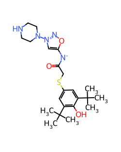 CC(C)(C)c1cc(SCC(=O)[N-]c2c[n+](N3CCNCC3)no2)cc(C(C)(C)C)c1O